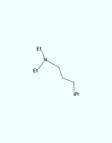 CCN(CC)CCCC(C)C